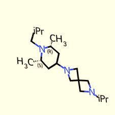 CC(C)CN1[C@H](C)CC(N2CC3(CN(C(C)C)C3)C2)C[C@@H]1C